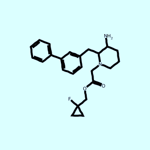 NC1CCCN(CC(=O)OCC2(F)CC2)C1Cc1cccc(-c2ccccc2)c1